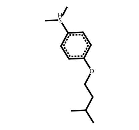 CC(C)CCOc1ccc([SH](C)C)cc1